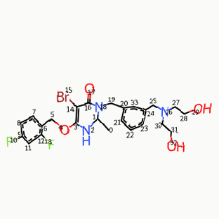 CC1NC(OCc2ccc(F)cc2F)=C(Br)C(=O)N1Cc1cccc(CN(CCO)CCO)c1